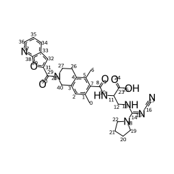 Cc1cc2c(c(C)c1C(=O)NC(CN/C(=N\C#N)N1CCCC1)C(=O)O)CCN(C(=O)c1cc3cccnc3o1)C2